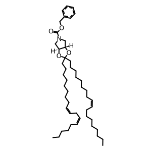 CCCCC/C=C\C/C=C\CCCCCCCCC1(CCCCCCCC/C=C\CCCCCCCC)O[C@H]2CN(C(=O)OCc3ccccc3)C[C@@H]2O1